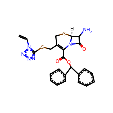 C=Cn1nnnc1SCC1=C(C(=O)OC(c2ccccc2)c2ccccc2)N2C(=O)C(N)[C@@H]2SC1